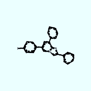 Ic1ccc(-c2cc(-c3ccccc3)c3nc(-c4ccccc4)cn3c2)cc1